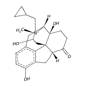 C[N@+]1(CC2CC2)C(O)C[C@]23c4c5ccc(O)c4C[C@H]2C(=O)CC[C@@]3(O)[C@H]1C5